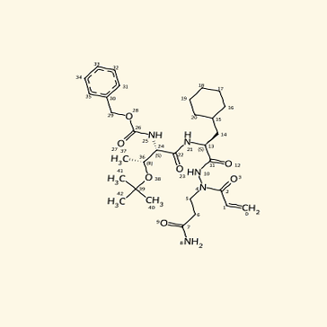 C=CC(=O)N(CCC(N)=O)NC(=O)[C@H](CC1CCCCC1)NC(=O)[C@@H](NC(=O)OCc1ccccc1)[C@@H](C)OC(C)(C)C